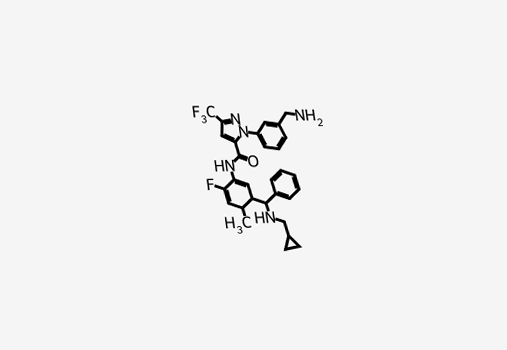 CC1C=C(F)C(NC(=O)c2cc(C(F)(F)F)nn2-c2cccc(CN)c2)=CC1C(NCC1CC1)c1ccccc1